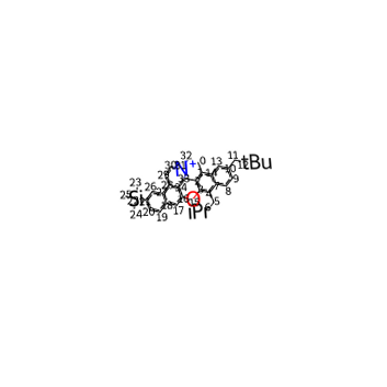 Cc1c2c(c(CC(C)C)c3ccc(CC(C)(C)C)cc13)Oc1cc3ccc([Si](C)(C)C)cc3c3cc[n+](C)c-2c13